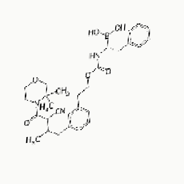 CC(Cc1cccc(CCOC(=O)N[C@@H](Cc2ccccc2)B(O)O)c1)C(C#N)C(=O)N1CCOCC1(C)C